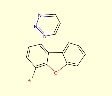 Brc1cccc2c1oc1ccccc12.c1cnnnc1